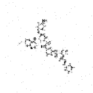 CC(C)c1ccc2c(Nc3cc(C(=O)Nc4cccc(NC(=O)[C@@H]5CCCN5C(=O)OCc5ccccc5)c4)ccc3Sc3ccc(N)cc3)ncnc2n1